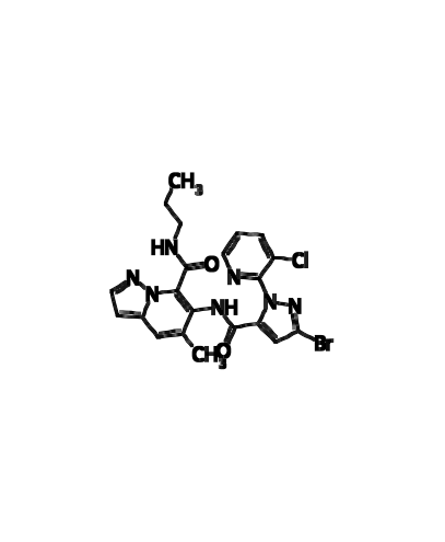 CCCNC(=O)c1c(NC(=O)c2cc(Br)nn2-c2ncccc2Cl)c(C)cc2ccnn12